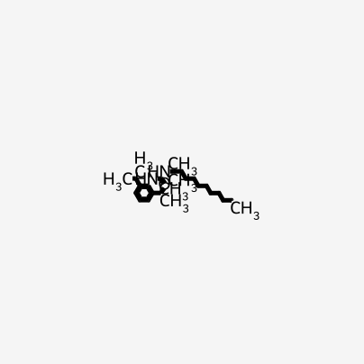 CCCCCCCCCCC(C)(C)NC(=O)Nc1c(C(C)C)cccc1C(C)C